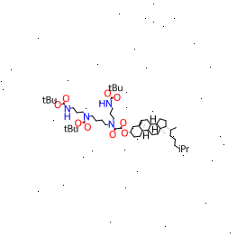 CC(C)CCCC(C)[C@H]1CC[C@H]2[C@@H]3CC=C4C[C@@H](OC(=O)C(=O)N(CCCCN(CCCNC(=O)OC(C)(C)C)C(=O)OC(C)(C)C)CCCNC(=O)OC(C)(C)C)CC[C@]4(C)[C@H]3CC[C@]12C